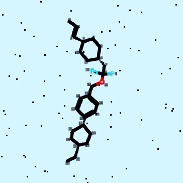 CC=C[C@H]1CC[C@H](CC(F)(F)OCc2ccc([C@H]3CC[C@H](CC)CC3)cc2)CC1